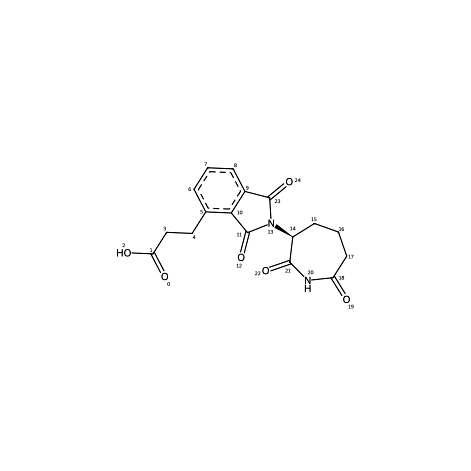 O=C(O)CCc1cccc2c1C(=O)N([C@H]1CCCC(=O)NC1=O)C2=O